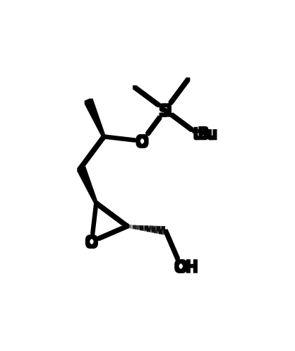 C[C@H](C[C@@H]1O[C@H]1CO)O[Si](C)(C)C(C)(C)C